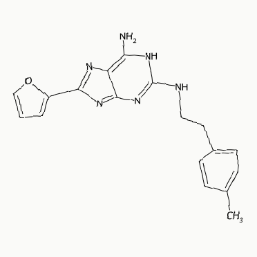 Cc1ccc(CCNc2nc3nc(-c4ccco4)nc-3c(N)[nH]2)cc1